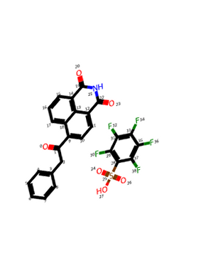 O=C(Cc1ccccc1)c1ccc2c3c(cccc13)C(=O)NC2=O.O=S(=O)(O)c1c(F)c(F)c(F)c(F)c1F